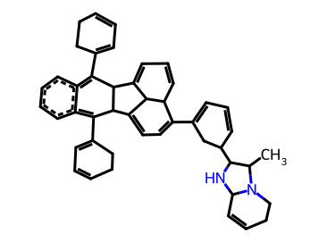 CC1C(C2C=CC=C(C3=CC=C4C5C(=CC=CC35)C3C(C5=CC=CCC5)=c5ccccc5=C(C5=CC=CCC5)C43)C2)NC2C=CCCN21